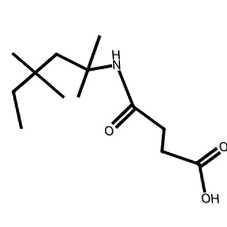 CCC(C)(C)CC(C)(C)NC(=O)CCC(=O)O